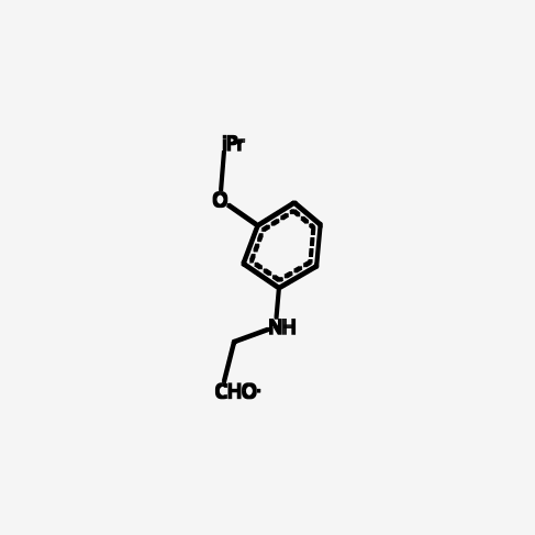 CC(C)Oc1cccc(NC[C]=O)c1